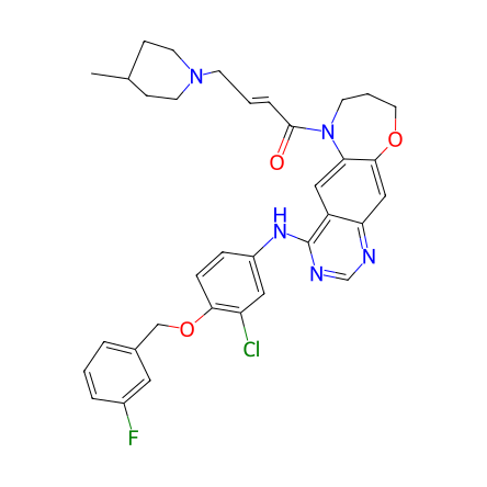 CC1CCN(C/C=C/C(=O)N2CCCOc3cc4ncnc(Nc5ccc(OCc6cccc(F)c6)c(Cl)c5)c4cc32)CC1